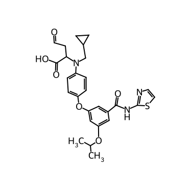 CC(C)Oc1cc(Oc2ccc(N(CC3CC3)C(CC=O)C(=O)O)cc2)cc(C(=O)Nc2nccs2)c1